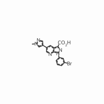 Cn1cc(-c2cnc3c(c2)c(C(=O)O)nn3-c2cccc(Br)c2)cn1